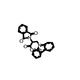 COC(=O)C(Cn1c2ccccc2c2ccccc21)N1C(=O)c2ccccc2C1=O